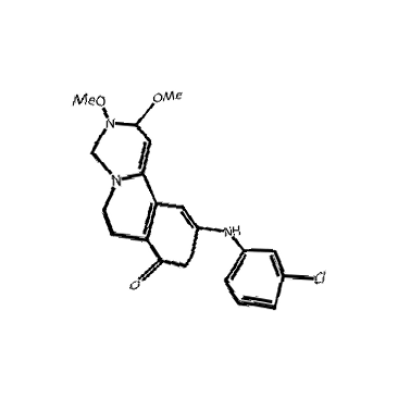 COC1C=C2C3=C(CCN2CN1OC)C(=O)CC(Nc1cccc(Cl)c1)=C3